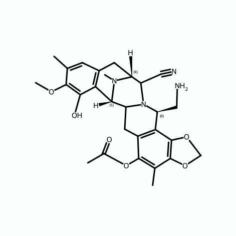 COc1c(C)cc2c(c1O)[C@H]1C3Cc4c(OC(C)=O)c(C)c5c(c4[C@H](CN)N3C(C#N)[C@@H](C2)N1C)OCO5